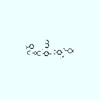 COc1nc2[nH]ccc2cc1Oc1cc(N2CCC3(CC2)CC(N2CCC[C@H]2c2ccccc2C(C)C)C3)ccc1C(=O)NS(=O)(=O)c1cc2c(c([N+](=O)[O-])c1)SC(C1CCC(C)(C)CC1)CO2